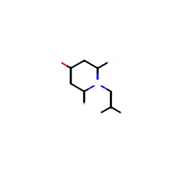 C[C](C)CN1C(C)CC(O)CC1C